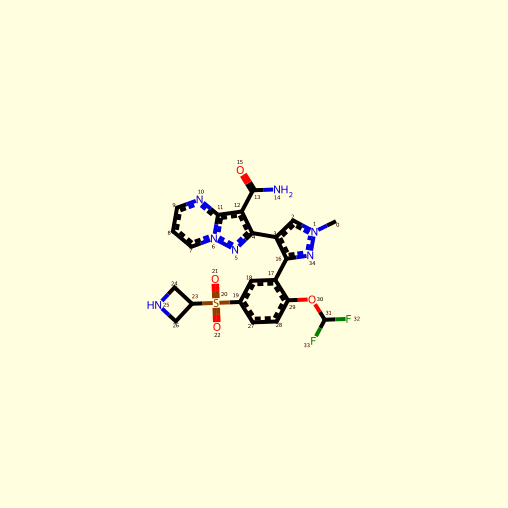 Cn1cc(-c2nn3cccnc3c2C(N)=O)c(-c2cc(S(=O)(=O)C3CNC3)ccc2OC(F)F)n1